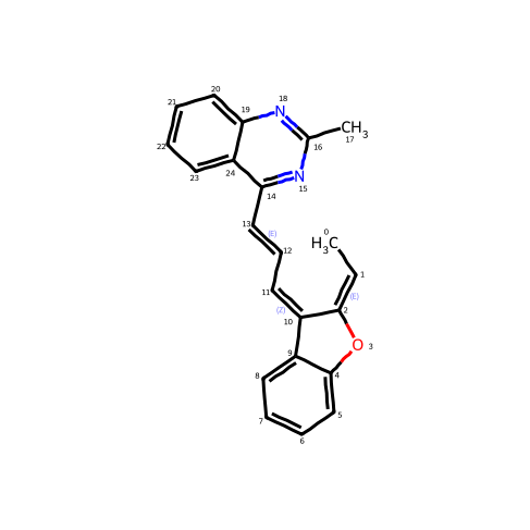 C/C=c1/oc2ccccc2/c1=C/C=C/c1nc(C)nc2ccccc12